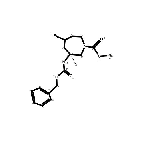 CC(C)(C)OC(=O)N1CCC(F)C[C@](C)(NC(=O)OCc2ccccc2)C1